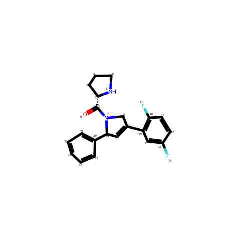 O=C([C@@H]1CCCN1)N1CC(c2cc(F)ccc2F)=CC1c1ccccc1